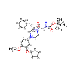 COc1ccc(N2CCN(C(=O)CNC(=O)OC(C)(C)C)[C@@H](Cc3ccccc3)C2)cc1OC1CCCC1